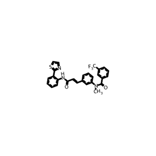 CN(C(=O)c1cccc(C(F)(F)F)c1)c1cccc(C=CC(=O)Nc2ccccc2-c2nccs2)c1